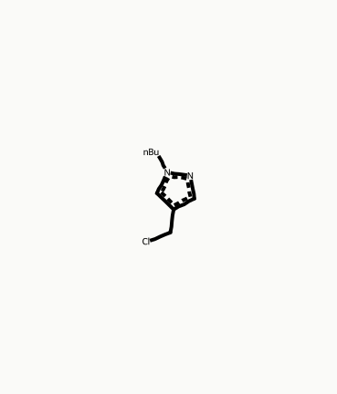 CCCCn1cc(CCl)cn1